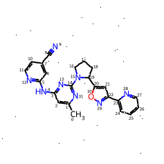 Cc1cc(Nc2cc(C#N)ccn2)nc(N2CCCC2c2cc(-c3ccccn3)no2)n1